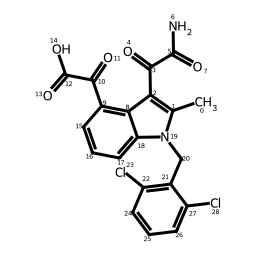 Cc1c(C(=O)C(N)=O)c2c(C(=O)C(=O)O)cccc2n1Cc1c(Cl)cccc1Cl